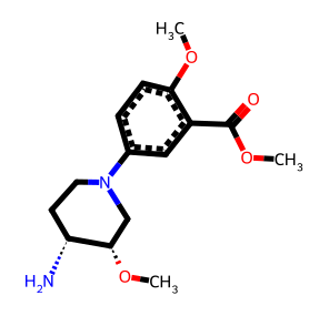 COC(=O)c1cc(N2CC[C@@H](N)[C@@H](OC)C2)ccc1OC